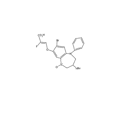 CCCCC1CN(c2ccccc2)c2cc(Br)c(O/C=C(\F)C(=O)O)cc2[S+]([O-])C1